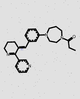 CCC(=O)N1CCCN(c2cccc(/C=C3\CCCN=C3c3cccnc3)c2)CC1